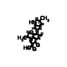 CC1C=C2CN(c3c(F)cc4c(=O)c(C(=O)O)cn5c4c3OC[C@@H]5C)CC2NC1